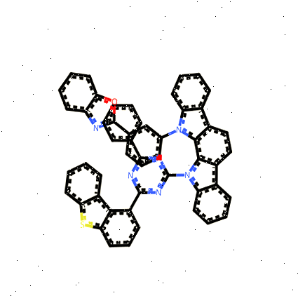 c1ccc(-c2nc(-c3cccc4sc5ccccc5c34)nc(-n3c4ccccc4c4ccc5c6ccccc6n(-c6cccc(-c7nc8ccccc8o7)c6)c5c43)n2)cc1